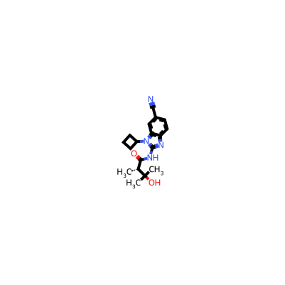 C[C@H](C(=O)Nc1nc2ccc(C#N)cc2n1C1CCC1)C(C)(C)O